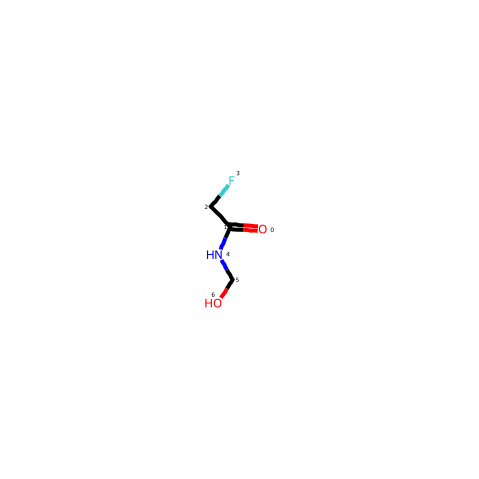 O=C(CF)NCO